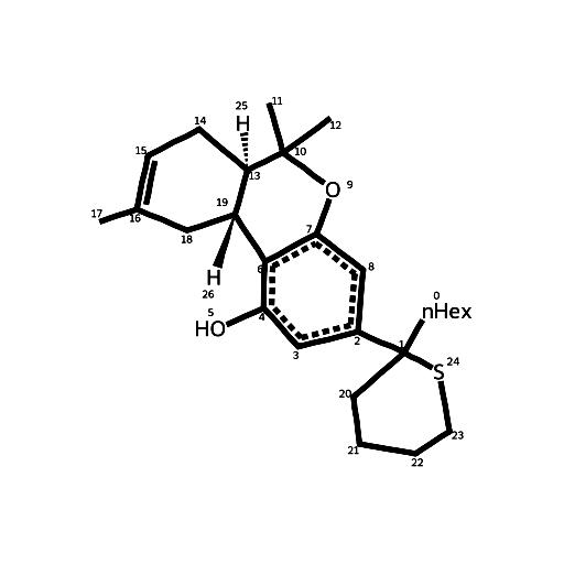 CCCCCCC1(c2cc(O)c3c(c2)OC(C)(C)[C@@H]2CC=C(C)C[C@@H]32)CCCCS1